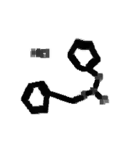 CCN(Oc1ccccc1)SCc1ccccc1.Cl